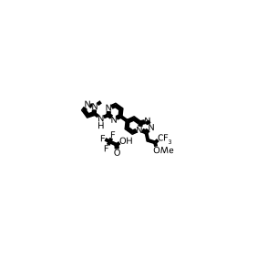 COC(Cc1nnc2cc(-c3ccnc(Nc4ccnn4C)n3)ccn12)C(F)(F)F.O=C(O)C(F)(F)F